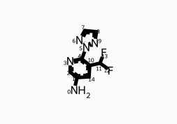 Nc1cnc(-n2nccn2)c(C(F)F)c1